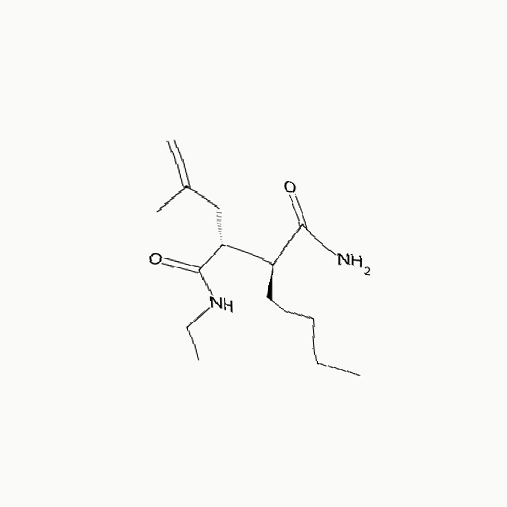 C=C(C)C[C@@H](C(=O)NCC)[C@H](CCCC)C(N)=O